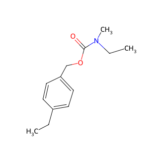 CCc1ccc(COC(=O)N(C)CC)cc1